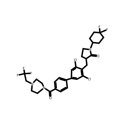 O=C(c1ccc(-c2cc(Cl)c(CC3CCN(C4CCC(F)(F)CC4)C3=O)c(Cl)c2)cc1)N1CCN(CC(F)(F)F)CC1